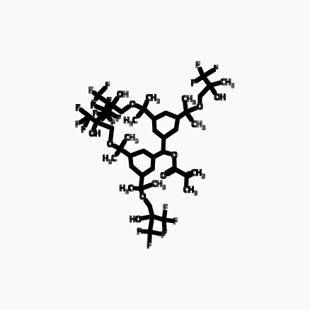 C=C(C)C(=O)OC(C1CC(C(C)(C)OCC(C)(O)C(F)(F)F)CC(C(C)(C)OCC(O)(C(F)(F)F)C(F)(F)F)C1)C1CC(C(C)(C)OCC(O)(C(F)(F)F)C(F)(F)F)CC(C(C)(C)OCC(O)(C(F)(F)F)C(F)(F)F)C1